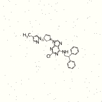 Cc1cnn([C@@H]2C=C[C@H](n3cnc4c(NCC(c5ccccc5)c5ccccc5)nc(Cl)nc43)C2)c1